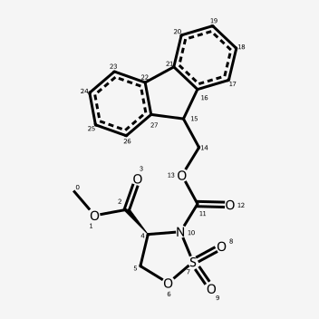 COC(=O)[C@@H]1COS(=O)(=O)N1C(=O)OCC1c2ccccc2-c2ccccc21